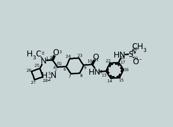 CN(C(=O)[C@@H](N)C1CCC(C(=O)Nc2cccc(N[S+](C)[O-])c2)CC1)C1CCC1